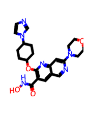 O=C(NO)c1cc2cnc(N3CCOCC3)cc2nc1OC1CCC(n2ccnc2)CC1